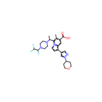 Cc1c(C(=O)O)cc2c(-c3cnn(C4CCOCC4)c3)ccn2c1C(C)N1CCN(C(F)C(F)F)CC1